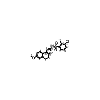 COc1ccc2c(c1)CCc1sc(NS(=O)(=O)c3cccc(Cl)c3C)nc1-2